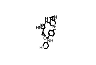 O=C(NC1CCNCC1)c1ccc(SN2C=C(Nc3cc(C4CC4)[nH]n3)[N+]3C=CN=C3C2)cc1